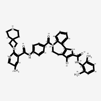 Cc1cnc(N2CC3(CCOCC3)C2)c(C(=O)Nc2ccc(C(=O)N3CCc4c(sc(C(=O)Nc5c(C)cccc5C)c4Cl)-c4ccccc43)cc2)c1